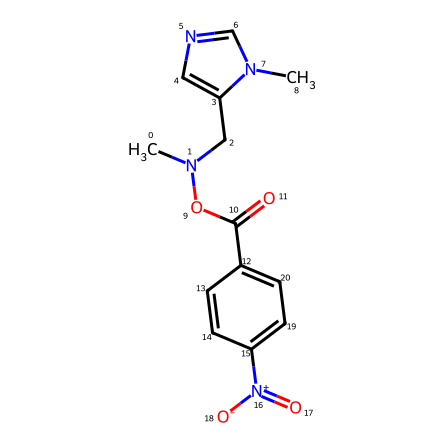 CN(Cc1cncn1C)OC(=O)c1ccc([N+](=O)[O-])cc1